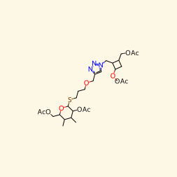 CC(=O)OCC1CC(OOC(C)=O)C1Cn1cc(COCCCSC2OC(COC(C)=O)C(C)C(C)C2OC(C)=O)nn1